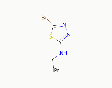 CC(C)CNc1nnc(Br)s1